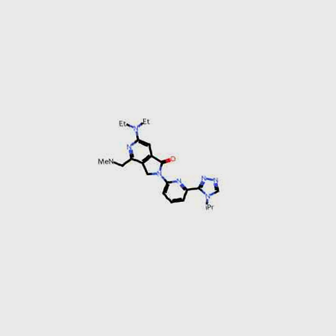 CCN(CC)c1cc2c(c(CNC)n1)CN(c1cccc(-c3nncn3C(C)C)n1)C2=O